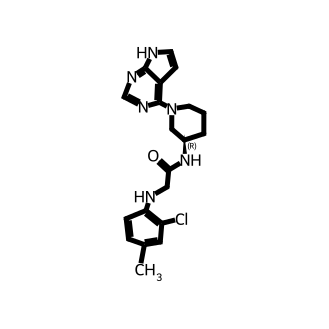 Cc1ccc(NCC(=O)N[C@@H]2CCCN(c3ncnc4[nH]ccc34)C2)c(Cl)c1